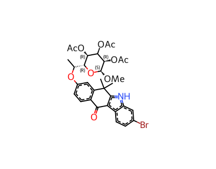 CO[C@H]1O[C@H](C(C)Oc2ccc3c(c2)C(C)(C)c2[nH]c4cc(Br)ccc4c2C3=O)[C@@H](OC(C)=O)C(OC(C)=O)[C@H]1OC(C)=O